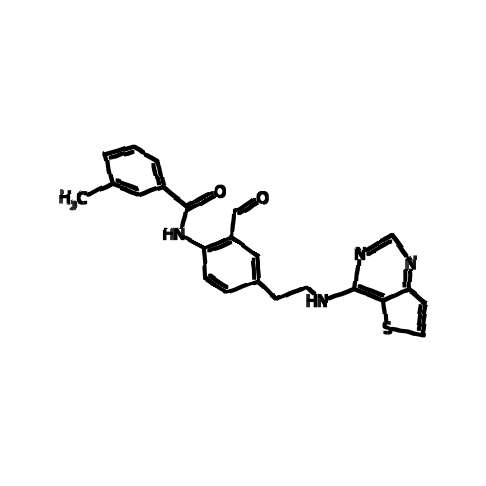 Cc1cccc(C(=O)Nc2ccc(CCNc3ncnc4ccsc34)cc2C=O)c1